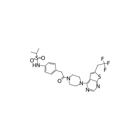 CC(C)S(=O)(=O)Nc1ccc(CC(=O)N2CCN(c3ncnc4sc(CC(F)(F)F)cc34)CC2)cc1